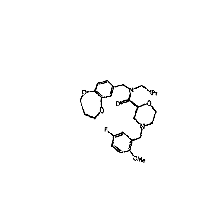 COc1ccc(F)cc1CN1CCOC(C(=O)N(Cc2ccc3c(c2)OCCCO3)CC(C)C)C1